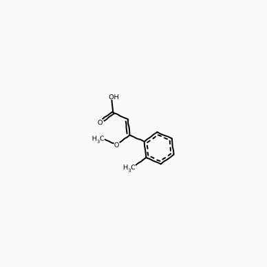 CO/C(=C\C(=O)O)c1ccccc1C